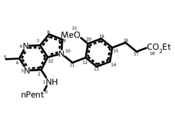 CCCCCNc1nc(C)nc2ccn(Cc3ccc(CCC(=O)OCC)cc3OC)c12